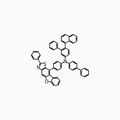 c1ccc(-c2ccc(N(c3ccc(-c4c5sc(-c6ccccc6)nc5cc5oc6ccccc6c45)cc3)c3ccc(-c4cccc5ccccc45)c(-c4ccccc4)c3)cc2)cc1